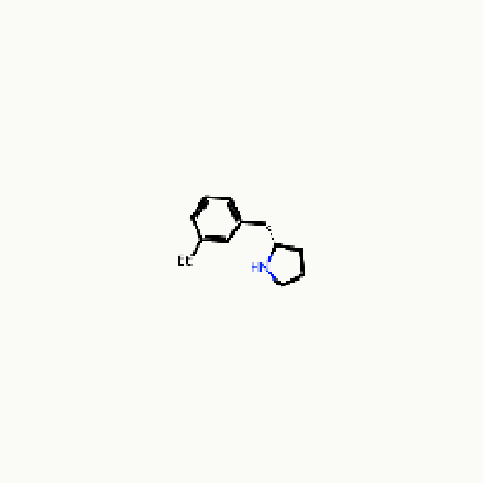 CCc1cccc(C[C@@H]2CCCN2)c1